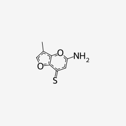 Cc1coc2c(=S)cc(N)oc12